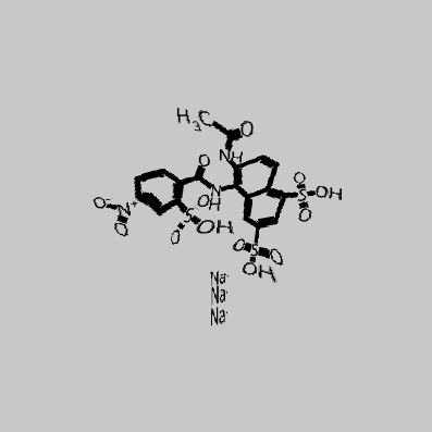 CC(=O)Nc1ccc2c(S(=O)(=O)O)cc(S(=O)(=O)O)cc2c1NC(=O)c1ccc([N+](=O)[O-])cc1S(=O)(=O)O.[Na].[Na].[Na]